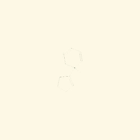 CC1(C2=CCCC2)C=CC=CC1